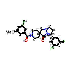 COc1cc(F)cc(C(=O)N2CCC3(CC2)CN2CC[C@@H](c4cc(F)cc(F)c4)N2C3=O)c1